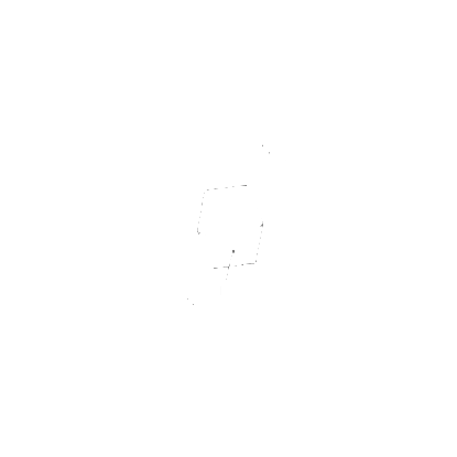 NC1CC2C(N)CC1C2(F)F